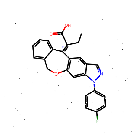 CC/C(C(=O)O)=C1/c2ccccc2COc2cc3c(cnn3-c3ccc(F)cc3)cc21